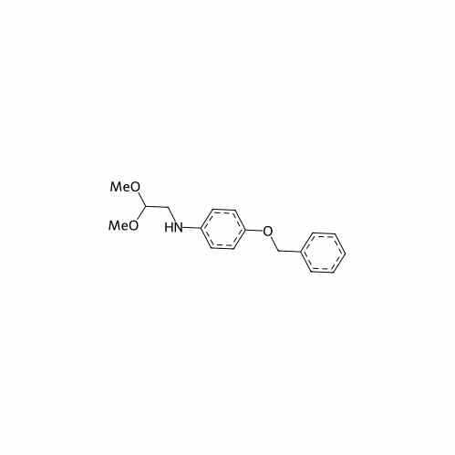 COC(CNc1ccc(OCc2ccccc2)cc1)OC